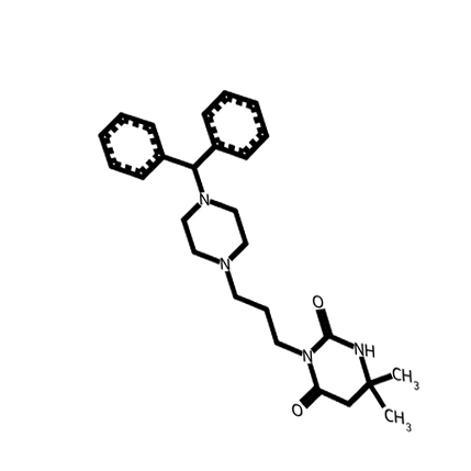 CC1(C)CC(=O)N(CCCN2CCN(C(c3ccccc3)c3ccccc3)CC2)C(=O)N1